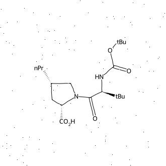 CCC[C@H]1C[C@@H](C(=O)O)N(C(=O)[C@@H](NC(=O)OC(C)(C)C)C(C)(C)C)C1